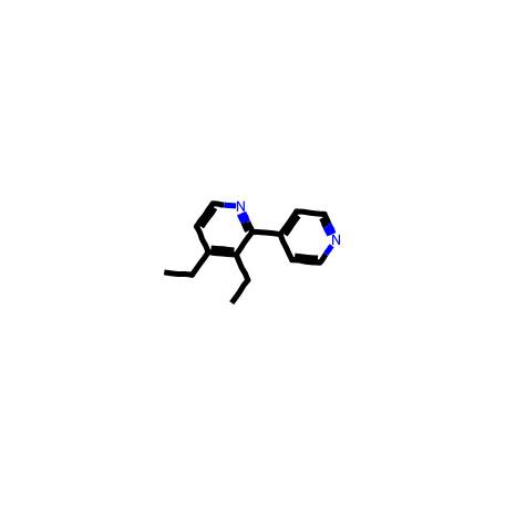 CCc1ccnc(-c2ccncc2)c1CC